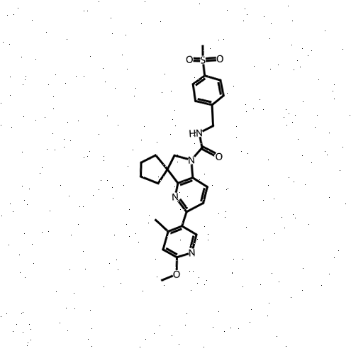 COc1cc(C)c(-c2ccc3c(n2)C2(CCCC2)CN3C(=O)NCc2ccc(S(C)(=O)=O)cc2)cn1